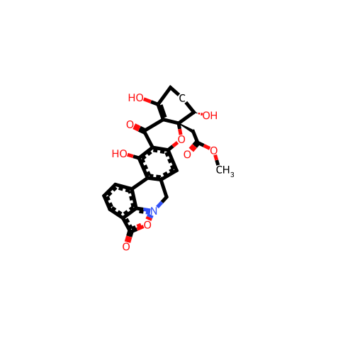 COC(=O)C[C@@]12Oc3cc4c(c(O)c3C(=O)C1=C(O)CC[C@@H]2O)-c1cccc2c(=O)on(c12)C4